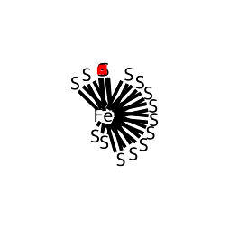 [S]=[Fe](=[S])(=[S])(=[S])(=[S])(=[S])(=[S])(=[S])(=[S])(=[S])(=[S])(=[S])(=[S])(=[S])=[S]